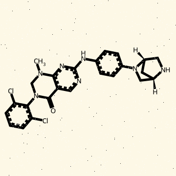 CN1CN(c2c(Cl)cccc2Cl)C(=O)c2cnc(Nc3ccc(N4C[C@@H]5C[C@H]4CN5)cc3)nc21